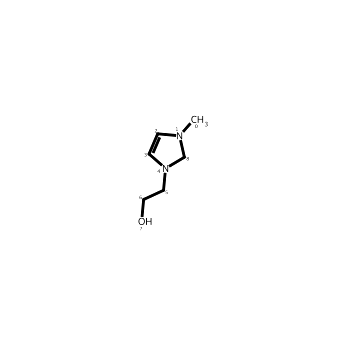 CN1C=CN(CCO)C1